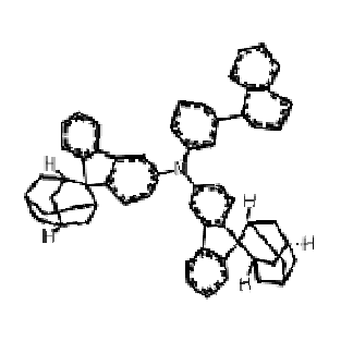 c1cc(-c2cccc3ccccc23)cc(N(c2ccc3c(c2)-c2ccccc2[C@]32C3CC4C[C@@H](C3)C[C@@H]2C4)c2ccc3c(c2)-c2ccccc2[C@]32[C@H]3CC4C[C@H](C3)C[C@@H]2C4)c1